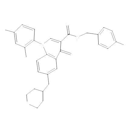 O=C(NCc1ccc(Cl)cc1)c1cn(-c2ccc(F)cc2F)c2ccc(CC3CCOCC3)cc2c1=O